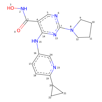 O=C(NO)c1cnc(N2CCCC2)nc1Nc1ccc(C2CC2)nc1